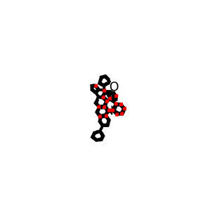 c1ccc(-c2ccc(N(c3ccc4c(c3)C3(c5ccccc5Oc5ccccc53)c3ccccc3-4)c3ccccc3-c3ccccc3-c3ccccc3-c3ccccc3)cc2)cc1